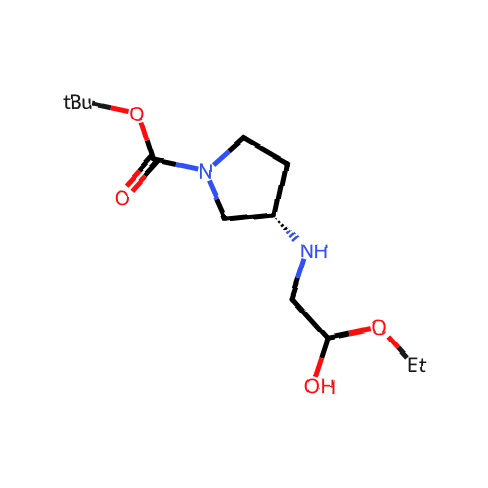 CCOC(O)CN[C@H]1CCN(C(=O)OC(C)(C)C)C1